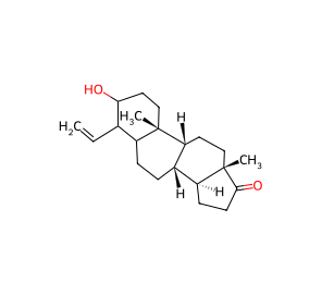 C=CC1C(O)CC[C@@]2(C)C1CC[C@@H]1[C@H]2CC[C@]2(C)C(=O)CC[C@@H]12